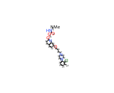 CNCNC(=O)OCOC1=Nc2cc(OCCCCN3CCN(c4cccc(C)c4Cl)CC3)ccc2CC1